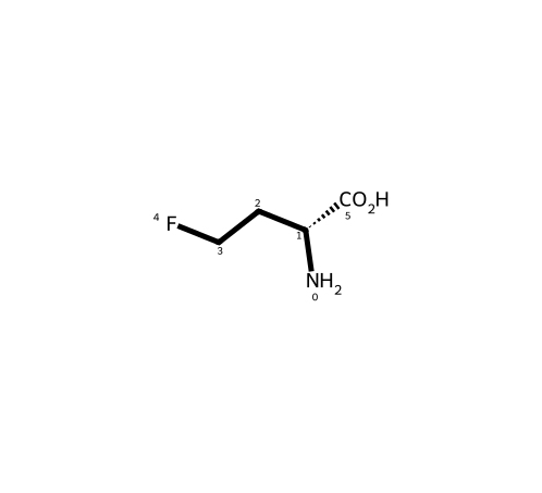 N[C@H](CCF)C(=O)O